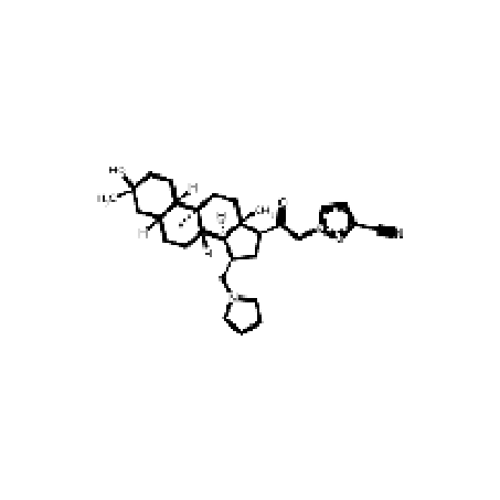 C[C@@]1(O)CC[C@H]2[C@H](CC[C@@H]3[C@@H]2CC[C@@]2(C)[C@H]3[C@H](CN3CCCC3)C[C@@H]2C(=O)Cn2ccc(C#N)n2)C1